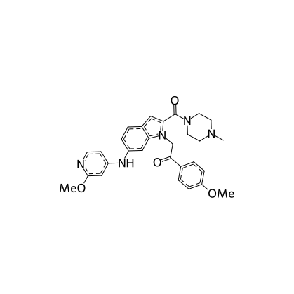 COc1ccc(C(=O)Cn2c(C(=O)N3CCN(C)CC3)cc3ccc(Nc4ccnc(OC)c4)cc32)cc1